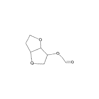 O=COC1COC2CCOC12